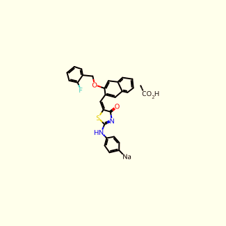 CC(=O)O.O=C1N=C(Nc2cc[c]([Na])cc2)SC1=Cc1cc2ccccc2cc1OCc1ccccc1F